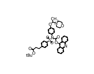 CC(Oc1ccc(N(C(=O)Oc2c3ccccc3nc3ccccc23)S(=O)(=O)c2ccc(CCC(=O)OC(C)(C)C)cc2)cc1)N1CCOCC1